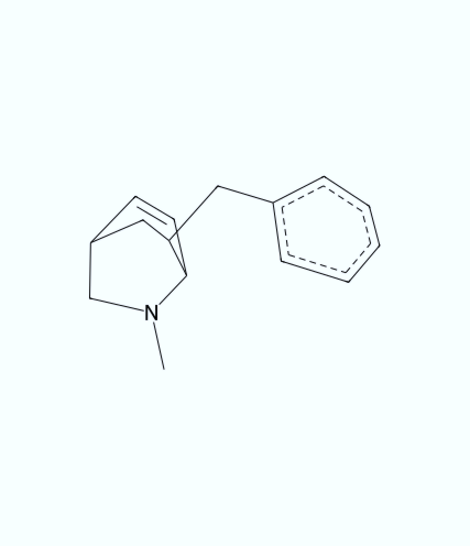 CN1CC2C=CC1C(Cc1ccccc1)C2